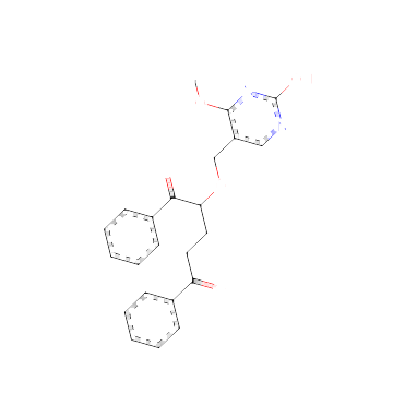 CCOc1nc(O)ncc1COC(CCC(=O)c1ccccc1)C(=O)c1ccccc1